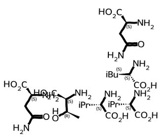 CC(C)[C@H](N)C(=O)O.CC(C)[C@H](N)C(=O)O.CC[C@H](C)[C@H](N)C(=O)O.C[C@@H](O)[C@H](N)C(=O)O.NC(=O)C[C@H](N)C(=O)O.NC(=O)C[C@H](N)C(=O)O